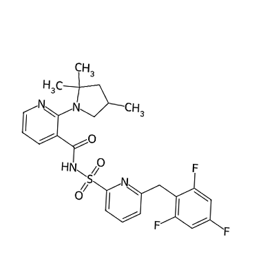 CC1CN(c2ncccc2C(=O)NS(=O)(=O)c2cccc(Cc3c(F)cc(F)cc3F)n2)C(C)(C)C1